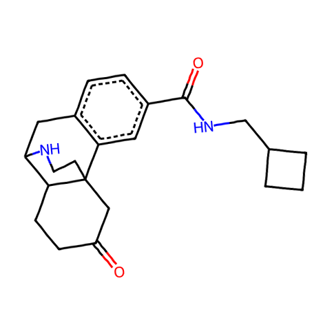 O=C1CCC2C3Cc4ccc(C(=O)NCC5CCC5)cc4C2(CCN3)C1